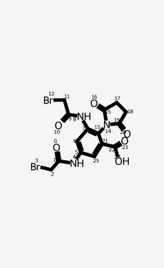 O=C(CBr)Nc1cc(NC(=O)CBr)c(N2C(=O)CCC2=O)c(C(=O)O)c1